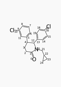 O=C1CCC(c2cccc(Cl)c2)C(c2ccc(Cl)cc2)N1CC1CC1